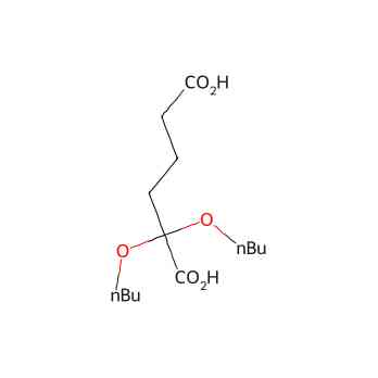 CCCCOC(CCCC(=O)O)(OCCCC)C(=O)O